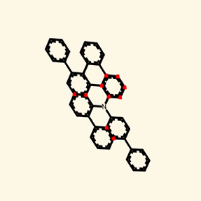 c1ccc(-c2ccc(N(c3ccccc3-c3ccccc3)c3ccccc3-c3cccc(-c4ccccc4)c3-c3ccccc3-c3ccccc3)cc2)cc1